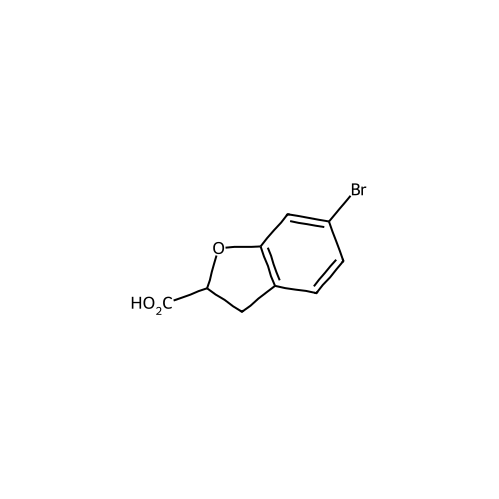 O=C(O)C1Cc2ccc(Br)cc2O1